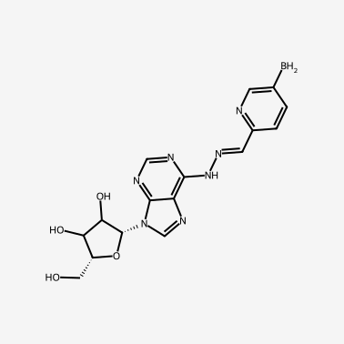 Bc1ccc(/C=N/Nc2ncnc3c2ncn3[C@@H]2O[C@H](CO)C(O)C2O)nc1